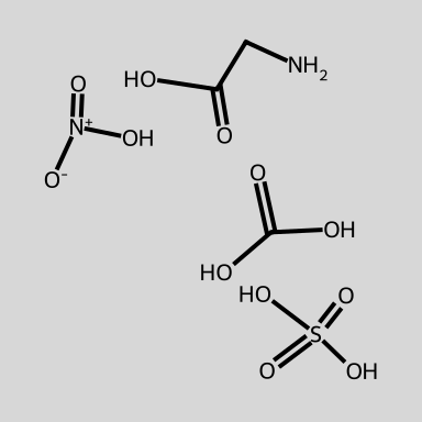 NCC(=O)O.O=C(O)O.O=S(=O)(O)O.O=[N+]([O-])O